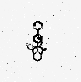 C#CCN1C[C@H](COC)C2CCCC(C1=O)N2S(=O)(=O)c1ccc(-c2ncccn2)cc1